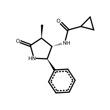 C[C@@H]1C(=O)N[C@H](c2ccccc2)[C@H]1NC(=O)C1CC1